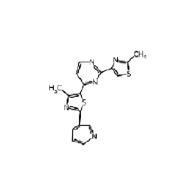 Cc1nc(-c2nccc(-c3sc(-c4cccnc4)nc3C)n2)cs1